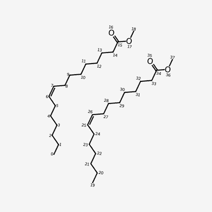 CCCCCC/C=C\CCCCCCCC(=O)OC.CCCCCC/C=C\CCCCCCCC(=O)OC